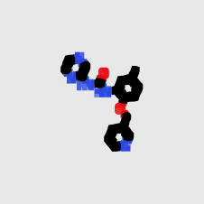 Cc1ccc(OCc2cccnc2)c(NC(=O)Nc2cnccn2)c1